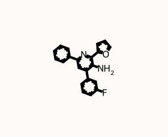 Nc1c(-c2cccc(F)c2)cc(-c2ccccc2)nc1-c1ccco1